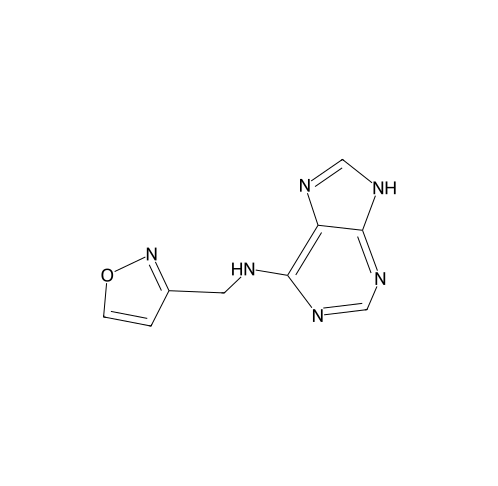 c1nc(NCc2ccon2)c2nc[nH]c2n1